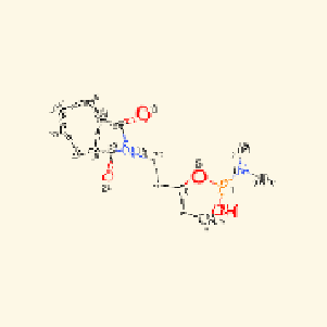 CC(C)N(C(C)C)P(O)OC(CC#N)CCN1C(=O)c2ccccc2C1=O